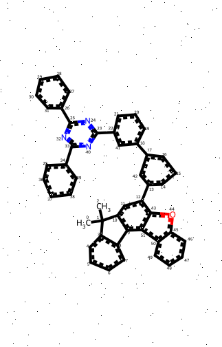 CC1(C)c2ccccc2-c2c1cc(-c1cccc(-c3cccc(-c4nc(-c5ccccc5)nc(-c5ccccc5)n4)c3)c1)c1oc3ccccc3c21